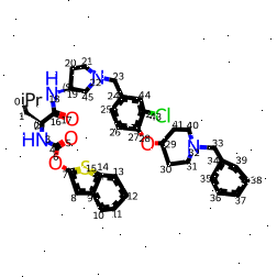 CC(C)C[C@H](NC(=O)Oc1cc2ccccc2s1)C(=O)N[C@H]1CCN(Cc2ccc(OC3CCN(Cc4ccccc4)CC3)c(Cl)c2)C1